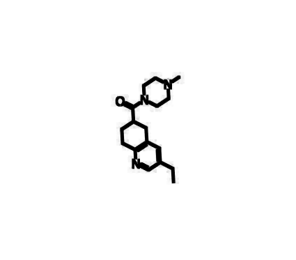 CCc1cnc2c(c1)CC(C(=O)N1CCN(C)CC1)CC2